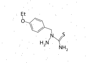 CCOc1ccc(CN(N)C(N)=S)cc1